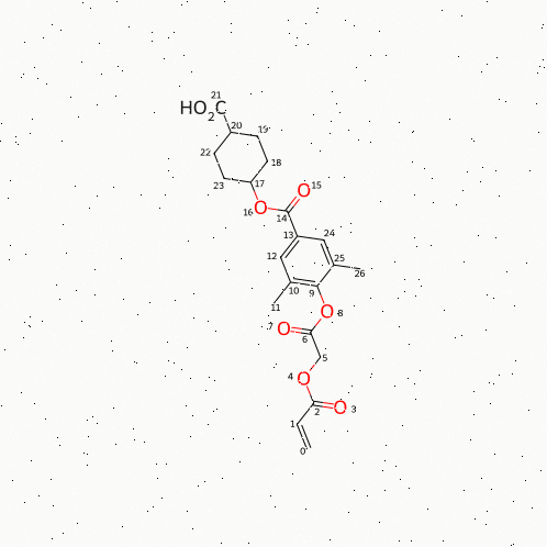 C=CC(=O)OCC(=O)Oc1c(C)cc(C(=O)OC2CCC(C(=O)O)CC2)cc1C